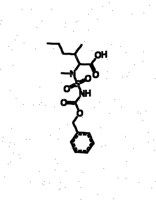 CCCC(C)C(C(=O)O)N(C)S(=O)(=O)NC(=O)OCc1ccccc1